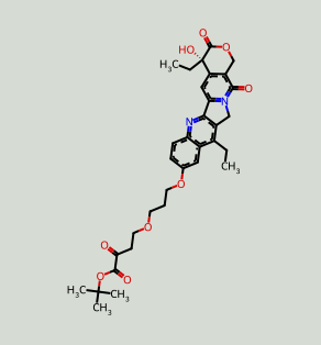 CCc1c2c(nc3ccc(OCCCOCCC(=O)C(=O)OC(C)(C)C)cc13)-c1cc3c(c(=O)n1C2)COC(=O)[C@]3(O)CC